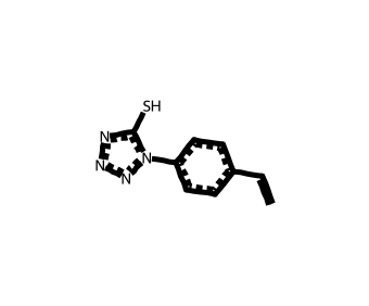 C=Cc1ccc(-n2nnnc2S)cc1